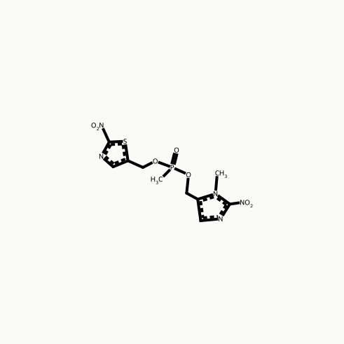 Cn1c(COP(C)(=O)OCc2cnc([N+](=O)[O-])s2)cnc1[N+](=O)[O-]